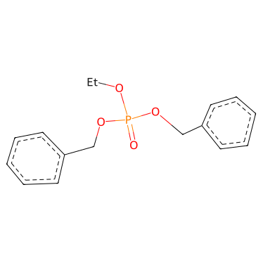 [CH2]COP(=O)(OCc1ccccc1)OCc1ccccc1